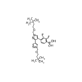 CS(C)(C)CCOCn1cc(-c2nn(COCCS(C)(C)C)cc2-c2ccc(B(O)O)c(F)c2F)cn1